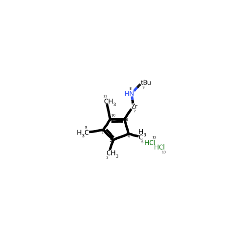 CC1=C(C)C(C)[C]([Zr][NH]C(C)(C)C)=C1C.Cl.Cl